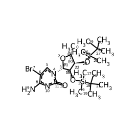 C[C@H]1O[C@@H](n2cc(Br)c(N)nc2=O)[C@H](O[Si](C)(C)C(C)(C)C)[C@@H]1O[Si](C)(C)C(C)(C)C